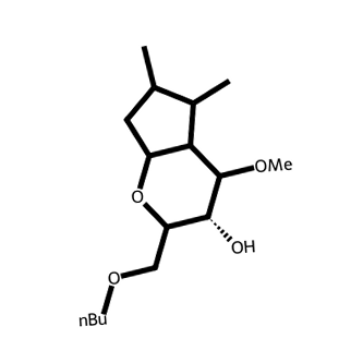 CCCCOCC1OC2CC(C)C(C)C2C(OC)[C@@H]1O